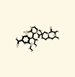 C=C(N1C=CN=C(N)/C1=C(\c1ccc(C(C)=O)cc1OCC)C(C)CC)C1(CC)CCC(CCC)N(C(=O)C(C)C)C1